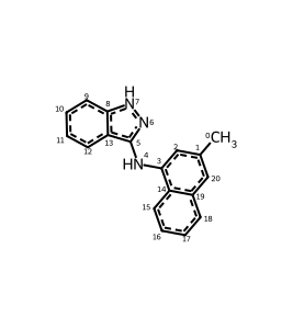 Cc1cc(Nc2n[nH]c3ccccc23)c2ccccc2c1